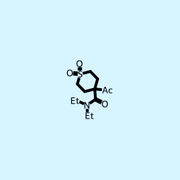 CCN(CC)C(=O)C1(C(C)=O)CCS(=O)(=O)CC1